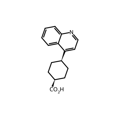 O=C(O)[C@H]1CC[C@@H](c2ccnc3ccccc32)CC1